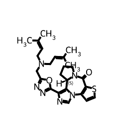 CC(C)=CCN(CC=C(C)C)Cc1nnc(-c2ncn3c2[C@@H]2CCCN2C(=O)c2sccc2-3)o1